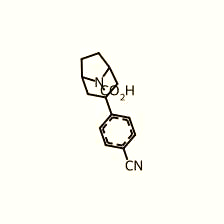 N#Cc1ccc(C2CC3CCC(C2)N3C(=O)O)cc1